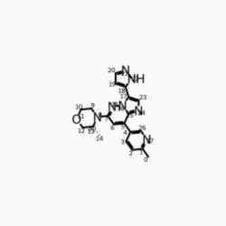 Cc1ccc(-c2cc(N3CCOC[C@H]3C)nn3c(-c4ccn[nH]4)cnc23)cn1